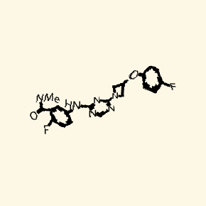 CNC(=O)c1cc(Nc2ncnc(N3CC(Oc4ccc(F)cc4)C3)n2)ccc1F